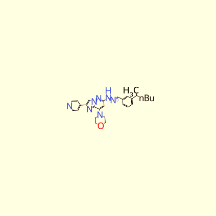 CCCCC(C)c1cccc(/C=N/Nc2cc(N3CCOCC3)c3nc(-c4ccncc4)cn3n2)c1